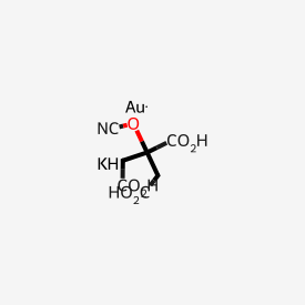 N#COC(CC(=O)O)(CC(=O)O)C(=O)O.[Au].[KH]